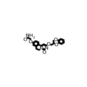 NC(=O)COc1ccc2c(c1)CCn1c-2cc(OCC2COc3ccccc3O2)nc1=O